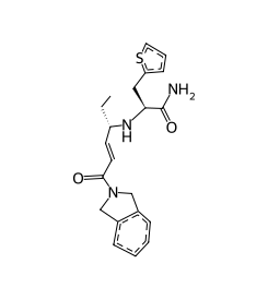 CC[C@@H](/C=C/C(=O)N1Cc2ccccc2C1)N[C@@H](Cc1cccs1)C(N)=O